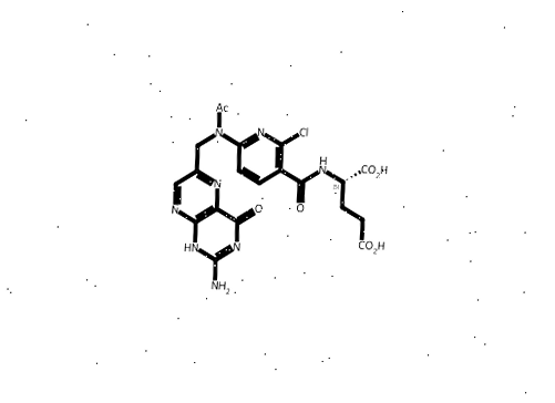 CC(=O)N(Cc1cnc2[nH]c(N)nc(=O)c2n1)c1ccc(C(=O)N[C@@H](CCC(=O)O)C(=O)O)c(Cl)n1